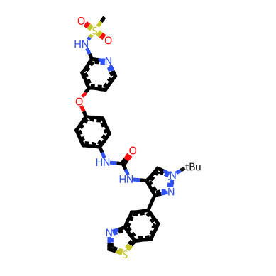 CC(C)(C)n1cc(NC(=O)Nc2ccc(Oc3ccnc(NS(C)(=O)=O)c3)cc2)c(-c2ccc3scnc3c2)n1